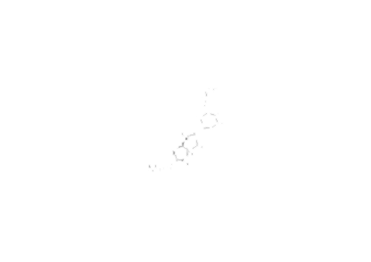 CSc1nn2cc(-c3cccc(OC(F)(F)F)c3)nc2s1